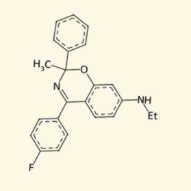 CCNc1ccc2c(c1)OC(C)(c1ccccc1)N=C2c1ccc(F)cc1